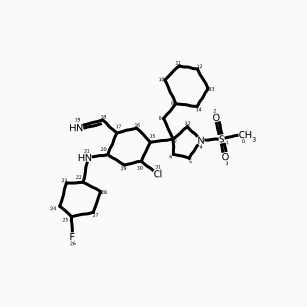 CS(=O)(=O)N1CCC(CC2CCCCC2)(C2CC(C=N)C(NC3CCC(F)CC3)CC2Cl)C1